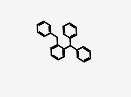 c1ccc(Cc2ccccc2C(c2ccccc2)c2ccccc2)cc1